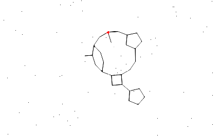 SC1CC2CCC1C1CC(C3CCC(CCC4C(C5CCCC5)CC24)C3)C1S